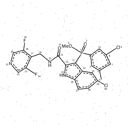 COP(=O)(c1cc(C)cc(Cl)c1)c1c(C(=O)NCc2c(F)cncc2F)[nH]c2ccc(Cl)cc12